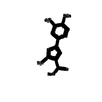 COC(=O)c1cc(-c2ccc(OCC(C)C)c([N+](=O)[O-])c2)nn1C